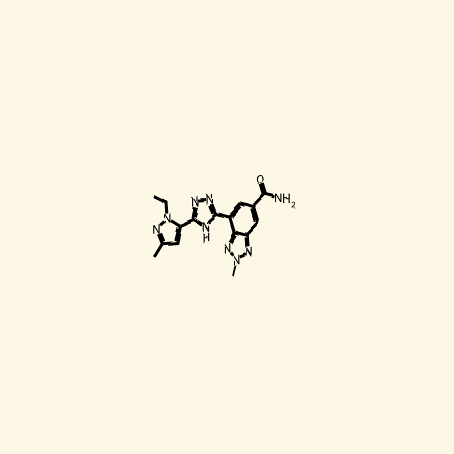 CCn1nc(C)cc1-c1nnc(-c2cc(C(N)=O)cc3nn(C)nc23)[nH]1